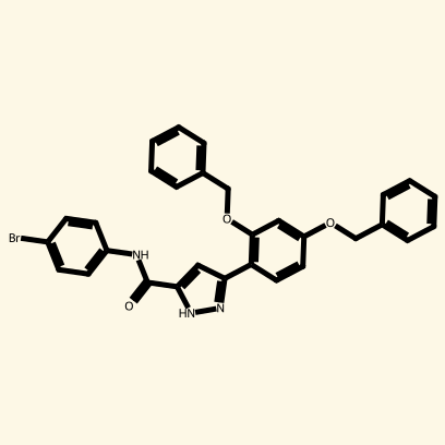 O=C(Nc1ccc(Br)cc1)c1cc(-c2ccc(OCc3ccccc3)cc2OCc2ccccc2)n[nH]1